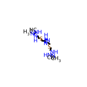 CN=C(NC#N)NCCSCc1n[nH]c(CSCCNC(=NC)NC#N)n1